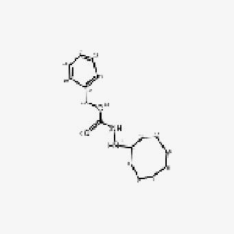 O=C(NNC1CCCCCCC1)OCc1ccccc1